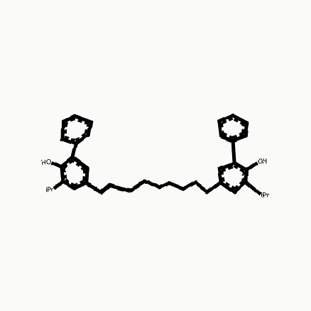 CC(C)c1cc(CCCCCCCCCc2cc(-c3ccccc3)c(O)c(C(C)C)c2)cc(-c2ccccc2)c1O